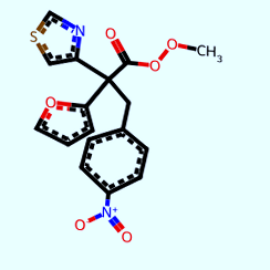 COOC(=O)C(Cc1ccc([N+](=O)[O-])cc1)(c1cscn1)c1ccco1